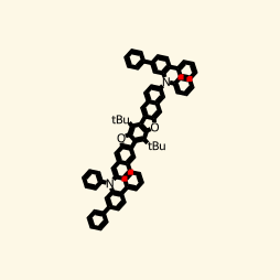 CC(C)(C)c1c2oc3cc4cc(N(c5ccccc5)c5cc(-c6ccccc6)ccc5-c5ccccc5)ccc4cc3c2c(C(C)(C)C)c2oc3cc4cc(N(c5ccccc5)c5cc(-c6ccccc6)ccc5-c5ccccc5)ccc4cc3c12